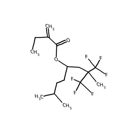 C=C(CC)C(=O)OC(CCC(C)C)CC(C)(C(F)(F)F)C(F)(F)F